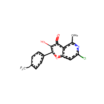 COc1nc(Cl)cc2oc(-c3ccc(C(F)(F)F)cc3)c(O)c(=O)c12